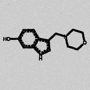 Oc1ccc2c(CN3CCOCC3)c[nH]c2c1